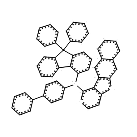 c1ccc(-c2ccc(N(c3cccc4c3-c3ccccc3C4(c3ccccc3)c3ccccc3)c3nccc4sc5cc6ccccc6cc5c34)cc2)cc1